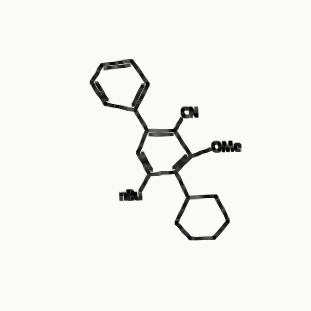 CCCCc1cc(-c2ccccc2)c(C#N)c(OC)c1C1CCCCC1